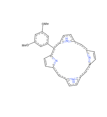 COc1cc(OC)cc(-c2c3nc(cc4ccc(cc5nc(cc6ccc2[nH]6)C=C5)[nH]4)C=C3)c1